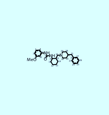 COc1cccc(NC(=O)NC2CCCCC2CN2CCC(Cc3ccccc3)CC2)c1